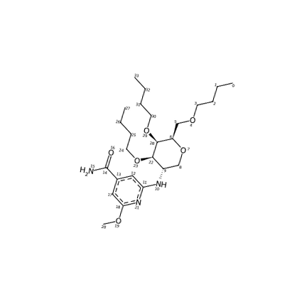 CCCCOC[C@H]1OC[C@H](Nc2cc(C(N)=O)cc(OC)n2)[C@@H](OCCCC)[C@H]1OCCCC